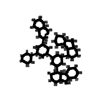 c1ccc(-c2nc(-c3cc(-c4cccc5sc6ccccc6c45)cc(-c4cccc5sc6ccccc6c45)c3)cc(-c3ccc4ccccc4c3)n2)cc1